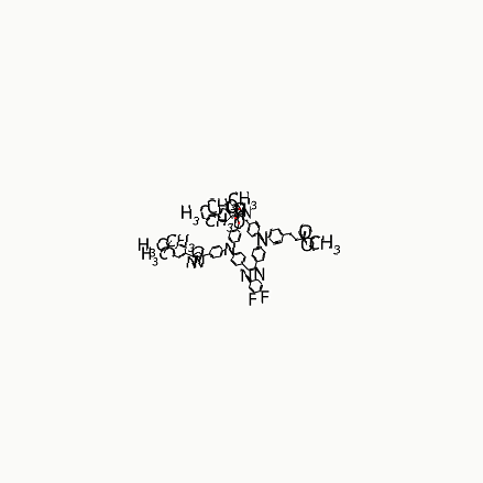 COC(=O)CCc1ccc(N(c2ccc(-c3nnc(-c4ccc(C(C)(C)C)cc4)o3)cc2)c2ccc(-c3nc4cc(F)c(F)cc4nc3-c3ccc(N(c4ccc(CCC(=O)OC)cc4)c4ccc(-c5nnc(-c6ccc(C(C)(C)C)cc6)o5)cc4)cc3)cc2)cc1